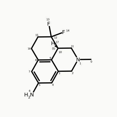 CN1Cc2cc(N)cc3c2[C@@H](C1)C(F)(F)CC3